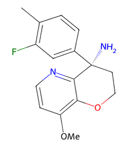 COc1ccnc2c1OCC[C@]2(N)c1ccc(C)c(F)c1